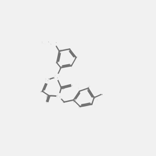 CC(=O)Nc1cccc(-n2ncc(=O)n(Cc3ccc(F)cc3)c2=O)c1